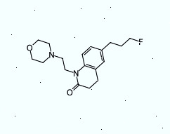 O=C1CCc2cc(CCCF)ccc2N1CCN1CCOCC1